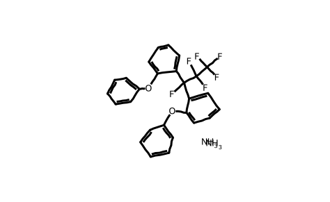 FC(F)(F)C(F)(F)C(F)(c1ccccc1Oc1ccccc1)c1ccccc1Oc1ccccc1.N.N